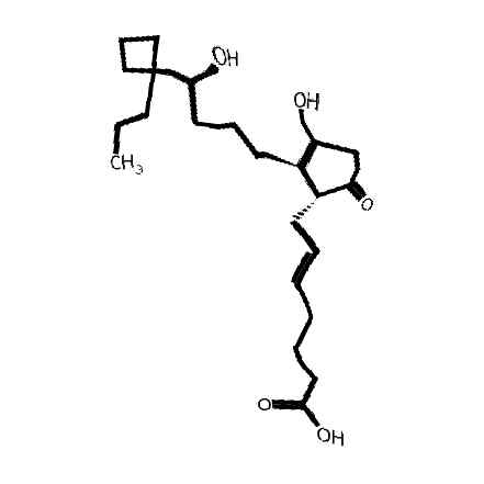 CCCC1(C(O)CCC[C@H]2C(O)CC(=O)[C@@H]2CC=CCCCC(=O)O)CCC1